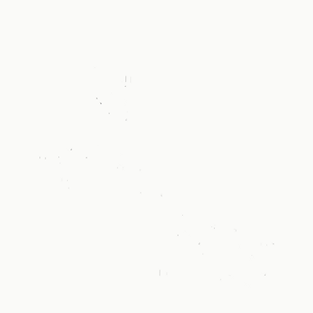 CCCc1c(OCCCCCOc2ccc(NS(C)(=O)=O)cc2CCC(=O)O)ccc2c1OCCC2=O